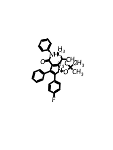 CC(C)c1c(C(=O)Nc2ccccc2)c(-c2ccccc2)c(-c2ccc(F)cc2)n1OC(C)(C)C